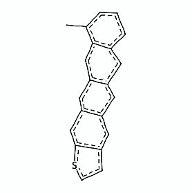 Cc1cccc2cc3cc4cc5ccsc5cc4cc3cc12